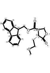 COCC[C@H]1C(=O)OCN1C(=O)OCC1c2ccccc2-c2ccccc21